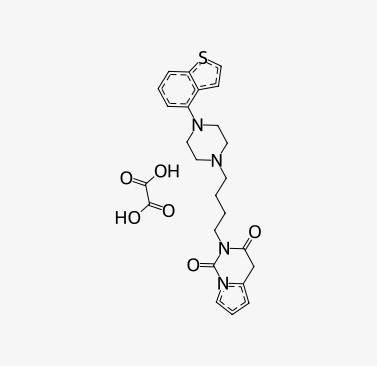 O=C(O)C(=O)O.O=C1Cc2cccn2C(=O)N1CCCCN1CCN(c2cccc3sccc23)CC1